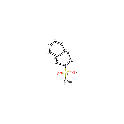 CNS(=O)(=O)c1ccc2c[c]ccc2c1